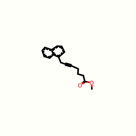 COC(=O)CCCC#CCc1cccc2ccccc12